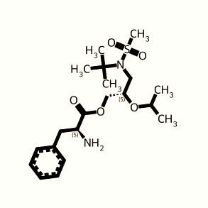 CC(C)O[C@H](COC(=O)[C@@H](N)Cc1ccccc1)CN(C(C)(C)C)S(C)(=O)=O